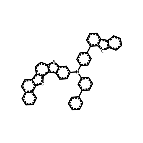 c1ccc(-c2cccc(N(c3ccc(-c4cccc5c4oc4ccccc45)cc3)c3ccc4c(c3)sc3ccc5c6ccc7ccccc7c6oc5c34)c2)cc1